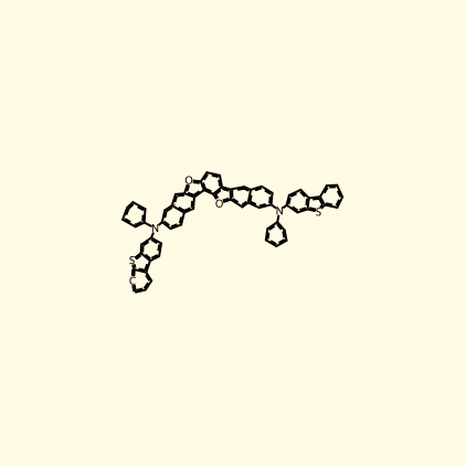 c1ccc(N(c2ccc3cc4c(cc3c2)oc2c4ccc3oc4cc5cc(N(c6ccccc6)c6ccc7c(c6)sc6ccccc67)ccc5cc4c32)c2ccc3c(c2)sc2ccccc23)cc1